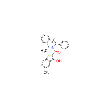 C=C(c1ccccc1)N(C(=C)c1ccccc1)C(=O)c1sc2ccc(C(F)(F)F)cc2c1O